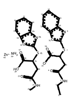 CCNC(=O)CC(Sc1nc2ccccc2o1)C(=O)[O-].CNC(=O)CC(Sc1nc2ccccc2o1)C(=O)O.N.[Zn+]